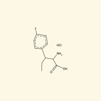 CCC(c1ccc(F)cc1)C(N)C(=O)O.Cl